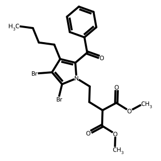 CCCCc1c(Br)c(Br)n(CCC(C(=O)OC)C(=O)OC)c1C(=O)c1ccccc1